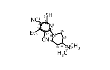 CCc1c(C#N)c(S)nc(N2CCC(N(C)C)CC2)c1C#N